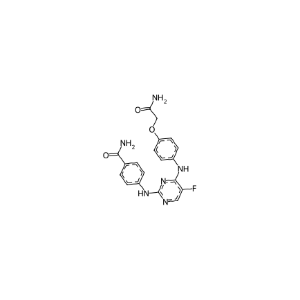 NC(=O)COc1ccc(Nc2nc(Nc3ccc(C(N)=O)cc3)ncc2F)cc1